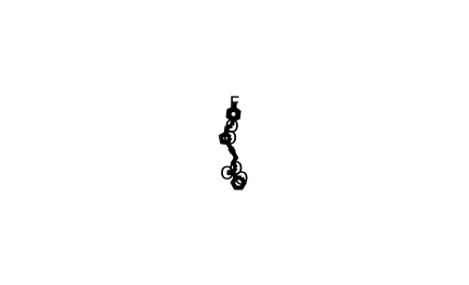 O=C(OCCC#CC1CCC(COc2ccc(F)cc2)O1)C1CCCCO1